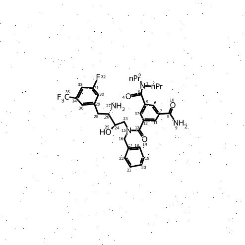 CCCN(CCC)C(=O)c1cc(C(N)=O)cc(C(=O)N(Cc2ccccc2)C[C@@H](O)[C@@H](N)Cc2cc(F)cc(C(F)(F)F)c2)c1